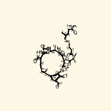 CNC(=O)CCC(C)SSCCC(=O)N(C)[C@@H](C)C(=O)O[C@H]1CC(=O)N(C)c2cc(cc(C=O)c2Cl)C/C(C)=C/C=C/[C@@H](C=O)[C@@]2(O)C[C@H](OC(=O)N2)[C@@H](C)[C@@H]2O[C@@]12C